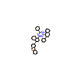 c1ccc(C2=NC(c3ccc(-c4ccc5sc6ccccc6c5c4)c4ccccc34)=NC(c3c(-c4ccccc4)ccc4ccccc34)N2)cc1